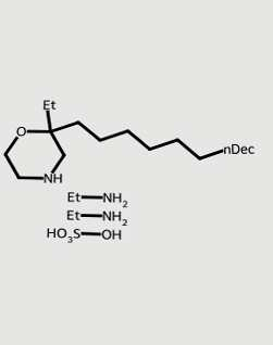 CCCCCCCCCCCCCCCCC1(CC)CNCCO1.CCN.CCN.O=S(=O)(O)O